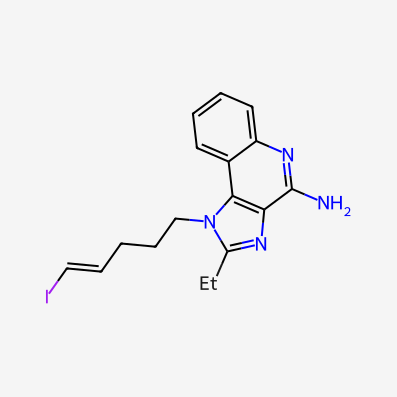 CCc1nc2c(N)nc3ccccc3c2n1CCC/C=C/I